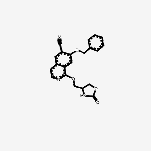 N#Cc1cc2ccnc(OCC3COC(=O)N3)c2cc1OCc1ccccc1